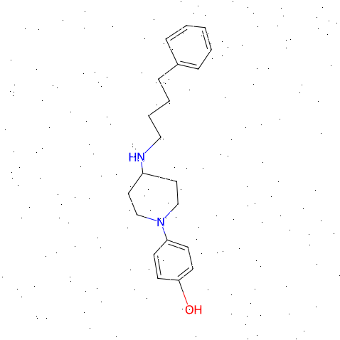 Oc1ccc(N2CCC(NCCCCc3ccccc3)CC2)cc1